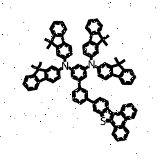 CC1(C)c2ccccc2-c2ccc(N(c3cc(-c4cccc(-c5ccc6c(c5)sc5c7ccccc7c7ccccc7c65)c4)cc(N(c4ccc5c(c4)C(C)(C)c4ccccc4-5)c4ccc5c(c4)C(C)(C)c4ccccc4-5)c3)c3ccc4c(c3)C(C)(C)c3ccccc3-4)cc21